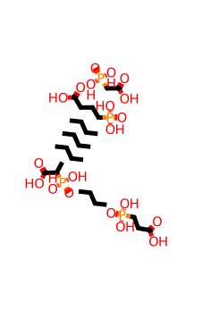 CC(C(=O)O)P(=O)(O)O.CCCC.CCCC.CCCC.CCCC.O=C(O)CCCP(=O)(O)O.O=C(O)CCP(=O)(O)O.O=C(O)CP(=O)(O)O